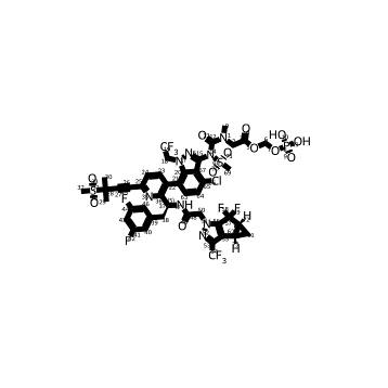 CN(CC(=O)OCOP(=O)(O)O)C(=O)N(c1nn(CC(F)(F)F)c2c(-c3ccc(C#CC(C)(C)S(C)(=O)=O)nc3[C@H](Cc3cc(F)cc(F)c3)NC(=O)Cn3nc(C(F)(F)F)c4c3C(F)(F)[C@@H]3C[C@H]43)ccc(Cl)c12)S(C)(=O)=O